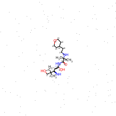 CC(C)(CO)C(=N)/C=C(\O)NC(=O)C(C)(C)NCCC1CCOCC1